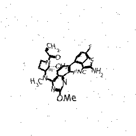 C=CC(=O)N1CCC(N(C)c2nc(OC)nc3c(F)c(-c4ccc(F)c5sc(N)c(C#N)c45)ccc23)[C@H]1C